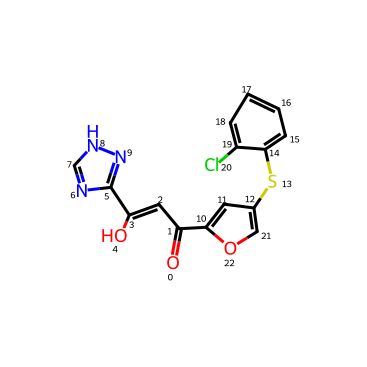 O=C(C=C(O)c1nc[nH]n1)c1cc(Sc2ccccc2Cl)co1